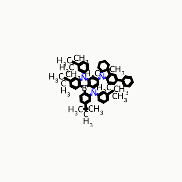 CC(C)(C)c1cccc(N2c3cc(C(C)(C)C)ccc3B3c4ccc(C(C)(C)C)cc4N(c4cccc(C(C)(C)C)c4)c4cc(N5c6ccc(-c7ccccc7)cc6C6(C)CCCCC56C)cc2c43)c1